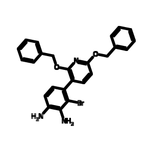 Nc1ccc(-c2ccc(OCc3ccccc3)nc2OCc2ccccc2)c(Br)c1N